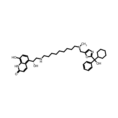 CN(CCCCCCCCCNC[C@H](O)c1ccc(O)c2[nH]c(=O)ccc12)Cc1cnc(C(O)(c2ccccc2)C2CCCCC2)o1